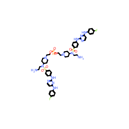 NCCN(C1CCN(CCO[PH](=O)OCCN2CCC(N(CCN)S(=O)(=O)c3ccc(Nc4nccc(Nc5ccc(F)cc5)n4)cc3)CC2)CC1)S(=O)(=O)c1ccc(Nc2nccc(Nc3ccc(F)cc3)n2)cc1